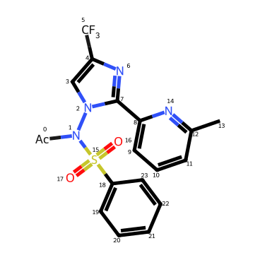 CC(=O)N(n1cc(C(F)(F)F)nc1-c1cccc(C)n1)S(=O)(=O)c1ccccc1